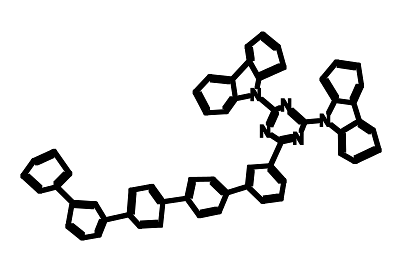 c1ccc(-c2cccc(-c3ccc(-c4ccc(-c5cccc(-c6nc(-n7c8ccccc8c8ccccc87)nc(-n7c8ccccc8c8ccccc87)n6)c5)cc4)cc3)c2)cc1